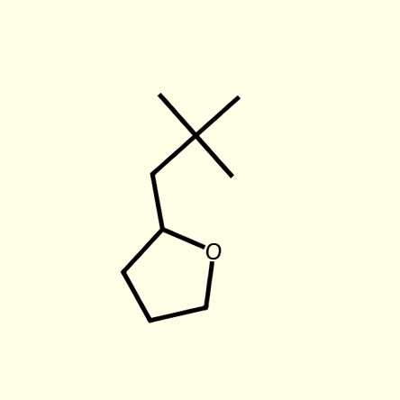 CC(C)(C)CC1CCCO1